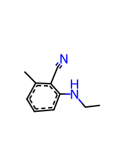 CCNc1cccc(C)c1C#N